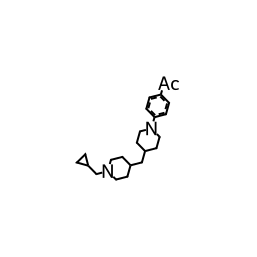 CC(=O)c1ccc(N2CCC(CC3CCN(CC4CC4)CC3)CC2)cc1